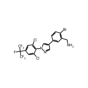 NCc1cc(-c2cnn(-c3c(Cl)cc(C(F)(C(F)(F)F)C(F)(F)F)cc3Cl)c2)ccc1Br